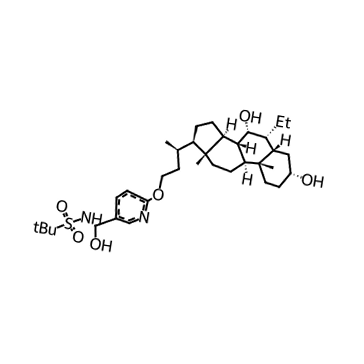 CC[C@H]1[C@@H](O)[C@@H]2[C@H](CC[C@]3(C)[C@@H]([C@H](C)CCOc4ccc(C(O)NS(=O)(=O)C(C)(C)C)cn4)CC[C@@H]23)[C@@]2(C)CC[C@@H](O)C[C@@H]12